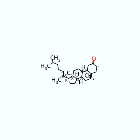 CC(C)CCC[C@@H](C)[C@H]1CC[C@H]2[C@@H]3CC=C4C[CH]C(=O)C[C@]4(C)[C@H]3CC[C@]12C